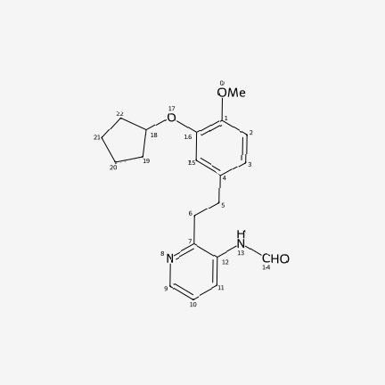 COc1ccc(CCc2ncccc2NC=O)cc1OC1CCCC1